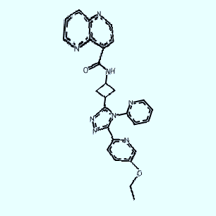 CCOc1ccc(-c2nnc(C3CC(NC(=O)c4ccnc5cccnc45)C3)n2-c2ccccn2)nc1